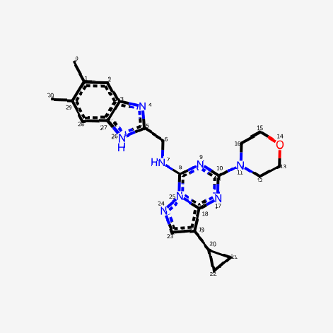 Cc1cc2nc(CNc3nc(N4CCOCC4)nc4c(C5CC5)cnn34)[nH]c2cc1C